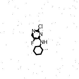 C[C@@H]1CCCCC1Nc1nc(Cl)ncc1F